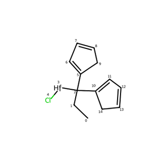 CC[C]([Hf][Cl])(C1=CC=CC1)C1=CC=CC1